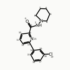 O=C(NN1CCCCC1)c1cccc(-c2cccc(Cl)c2)n1